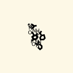 Cc1cn(C)nc1NC(=O)c1cc(F)c(-n2nc3n(c2=O)CCCC3)cc1OC(C)C1CCCCC1